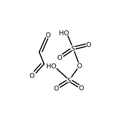 O=CC=O.O=S(=O)(O)OS(=O)(=O)O